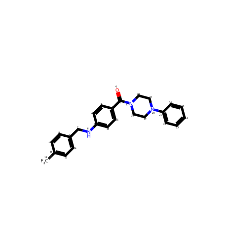 O=C(c1ccc(NCc2ccc(C(F)(F)F)cc2)cc1)N1CCN(c2ccccc2)CC1